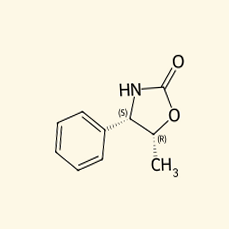 C[C@H]1OC(=O)N[C@H]1c1ccccc1